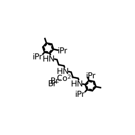 Cc1cc(C(C)C)c(NCCCNCCCNc2c(C(C)C)cc(C)cc2C(C)C)c(C(C)C)c1.[Br-].[Br-].[Co+2]